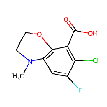 CN1CCOc2c1cc(F)c(Cl)c2C(=O)O